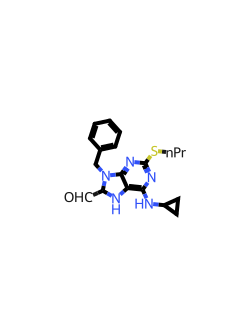 CCCSc1nc(NC2CC2)c2c(n1)N(Cc1ccccc1)C(C=O)N2